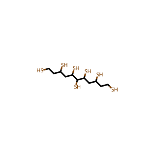 SCCC(S)CC(S)C(S)C(S)CC(S)CCS